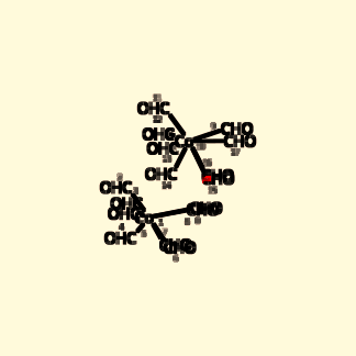 O=[CH][Co]([CH]=O)([CH]=O)([CH]=O)([CH]=O)([CH]=O)([CH]=O)[CH]=O.O=[CH][Co]([CH]=O)([CH]=O)([CH]=O)([CH]=O)([CH]=O)([CH]=O)[CH]=O